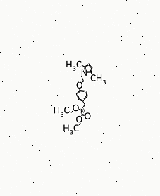 CCOC(=O)[C@H](Cc1ccc(OCCn2c(C)ccc2C)cc1)OCC